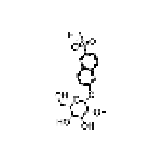 NS(=O)(=O)c1ccc2cc(O[C@H]3O[C@H](CO)[C@@H](O)[C@H](O)[C@H]3O)ccc2c1